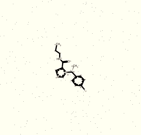 CCCNC(=O)c1cncn1[C@H](C)c1ccc(I)cc1